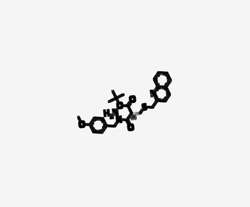 COc1ccc(CN(N)C(=O)[C@@H](CSCc2ccc3ccccc3n2)C(=O)OC(C)(C)C)cc1